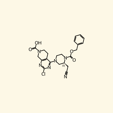 N#CC[C@H]1CN(c2nc(Cl)nc3c2CCN(C(=O)O)C3)CCN1C(=O)OCc1ccccc1